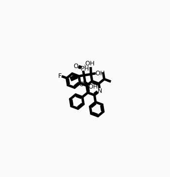 C#CC(C(=O)O)([PH](=O)O)C(C)(O)c1c(C(C)C)nc(-c2ccccc2)c(-c2ccccc2)c1-c1ccc(F)cc1